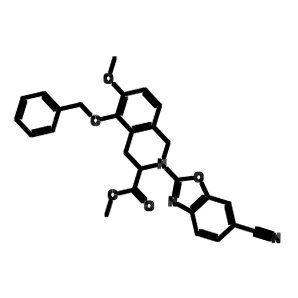 COC(=O)C1Cc2c(ccc(OC)c2OCc2ccccc2)CN1c1nc2ccc(C#N)cc2o1